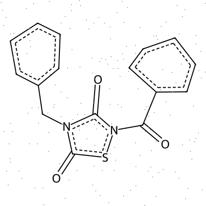 O=C(c1ccccc1)n1sc(=O)n(Cc2ccccc2)c1=O